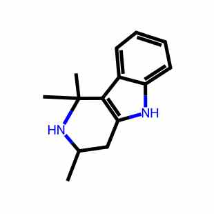 CC1Cc2[nH]c3ccccc3c2C(C)(C)N1